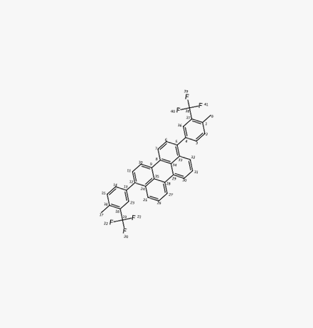 Cc1ccc(-c2ccc3c4ccc(-c5ccc(C)c(C(F)(F)F)c5)c5cccc(c6cccc2c63)c54)cc1C(F)(F)F